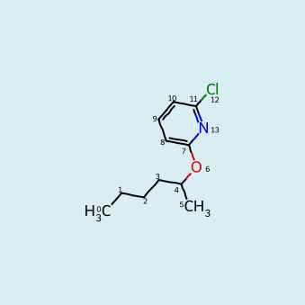 CCCCC(C)Oc1cccc(Cl)n1